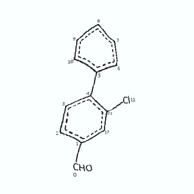 O=Cc1ccc(-c2ccccc2)c(Cl)c1